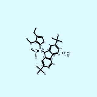 CCC1=CC[C]([Ti+2]([CH]2c3cc(C(C)(C)C)ccc3-c3ccc(C(C)(C)C)cc32)=[Si](C)C)=C1CC.[Cl-].[Cl-]